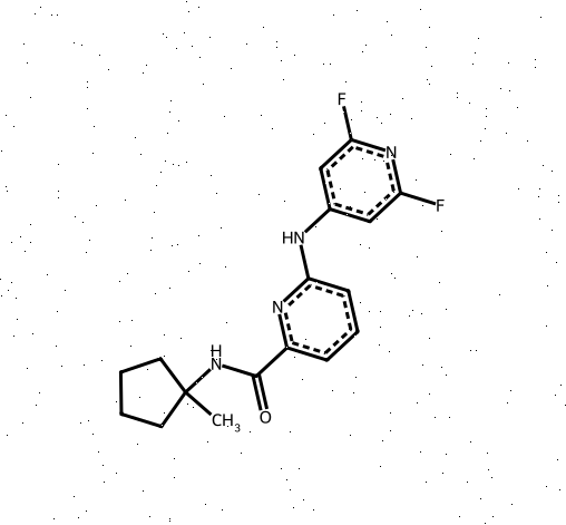 CC1(NC(=O)c2cccc(Nc3cc(F)nc(F)c3)n2)CCCC1